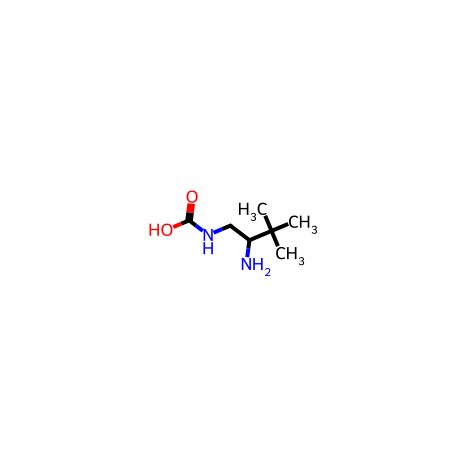 CC(C)(C)C(N)CNC(=O)O